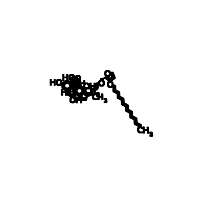 CCCCCCCCCCCCCCO[C@H]1CCO[C@H]1COCCC[C@@H](C)[C@H]1CC[C@H]2[C@@H]3[C@H](O)C[C@@H]4C[C@H](O)CC(P(=O)(O)O)[C@]4(C)[C@H]3C[C@H](O)[C@]12C